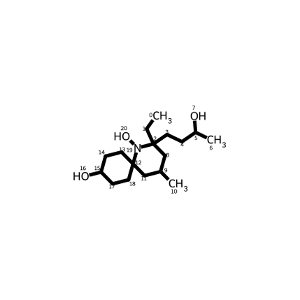 CCC1(CCC(C)O)CC(C)CC2(CCC(O)CC2)N1O